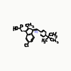 CC1=C(CC(=O)O)c2cc(Cl)ccc2/C1=C\c1ccc(C(C)(C)C)cc1